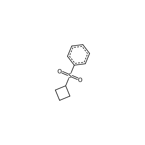 O=S(=O)(c1ccccc1)C1CCC1